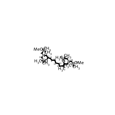 CO[Si](C)(C)CN1CC(CCCCCCC(C)C2CN(C[Si](C)(C)OC)C[Si](C)(C)O2)O[Si](C)(C)C1